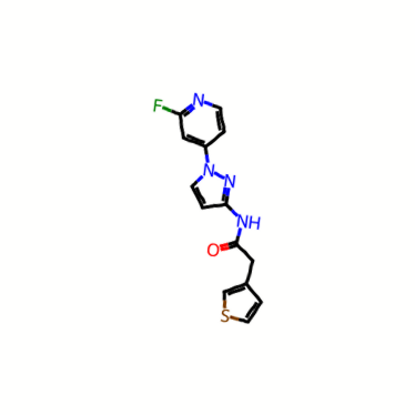 O=C(Cc1ccsc1)Nc1ccn(-c2ccnc(F)c2)n1